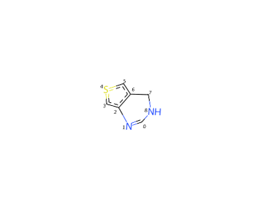 C1=Nc2cscc2CN1